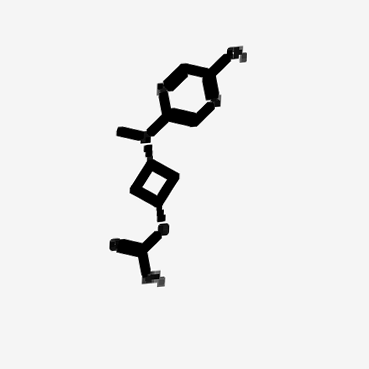 CN(c1cnc(C(F)(F)F)cn1)[C@H]1C[C@@H](OC(N)=O)C1